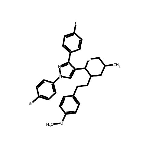 COc1ccc(CCC2CC(C)COC2c2cn(-c3ccc(Br)cc3)nc2-c2ccc(F)cc2)cc1